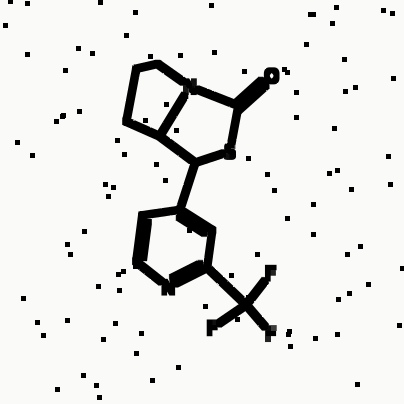 O=C1SC(c2ccnc(C(F)(F)F)c2)C2CCCN12